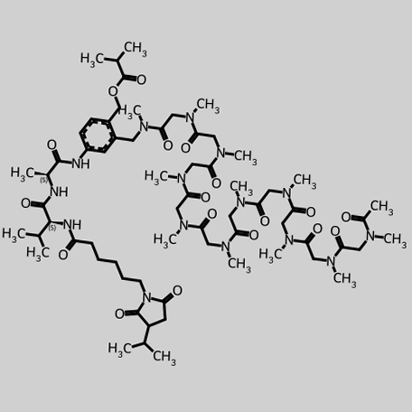 CC(=O)N(C)CC(=O)N(C)CC(=O)N(C)CC(=O)N(C)CC(=O)N(C)CC(=O)N(C)CC(=O)N(C)CC(=O)N(C)CC(=O)N(C)CC(=O)N(C)CC(=O)N(C)Cc1cc(NC(=O)[C@H](C)NC(=O)[C@@H](NC(=O)CCCCCN2C(=O)CC(C(C)C)C2=O)C(C)C)ccc1COC(=O)C(C)C